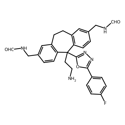 NCCC1(c2nnc(-c3ccc(F)cc3)o2)c2ccc(CNC=O)cc2CCc2cc(CNC=O)ccc21